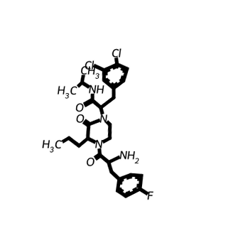 CCCC1C(=O)N(C(Cc2ccc(Cl)c(Cl)c2)C(=O)NC(C)C)CCN1C(=O)C(N)Cc1ccc(F)cc1